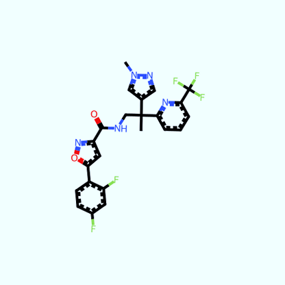 Cn1cc(C(C)(CNC(=O)c2cc(-c3ccc(F)cc3F)on2)c2cccc(C(F)(F)F)n2)cn1